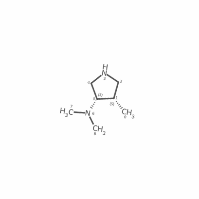 C[C@H]1CNC[C@H]1N(C)C